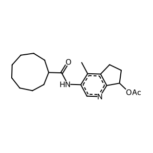 CC(=O)OC1CCc2c1ncc(NC(=O)C1CCCCCCCC1)c2C